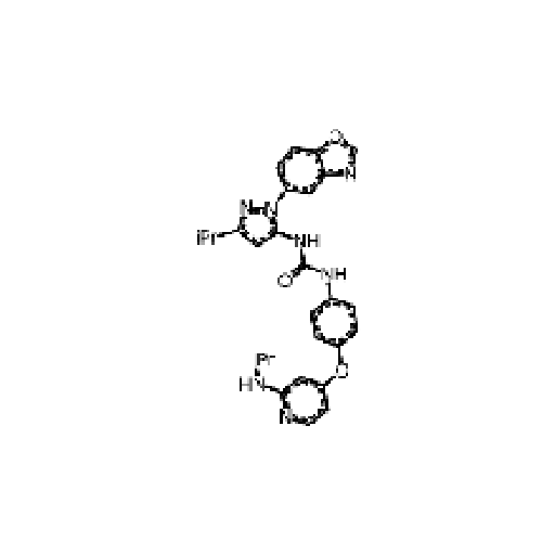 CC(C)Nc1cc(Oc2ccc(NC(=O)Nc3cc(C(C)C)nn3-c3ccc4ocnc4c3)cc2)ccn1